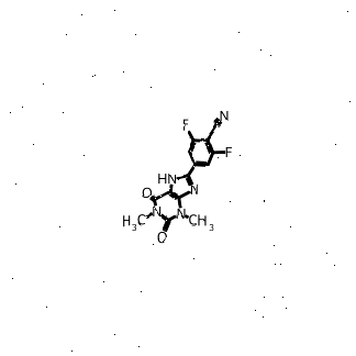 Cn1c(=O)c2[nH]c(-c3cc(F)c(C#N)c(F)c3)nc2n(C)c1=O